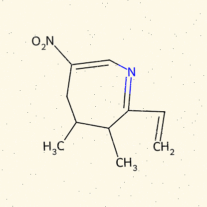 C=CC1=NC=C([N+](=O)[O-])CC(C)C1C